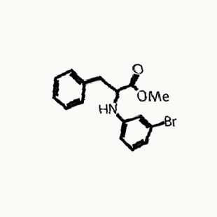 COC(=O)C(Cc1ccccc1)Nc1cccc(Br)c1